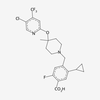 CC1(Oc2cc(C(F)(F)F)c(Cl)cn2)CCN(Cc2cc(F)c(C(=O)O)cc2C2CC2)CC1